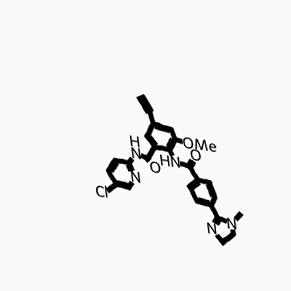 C#Cc1cc(OC)c(NC(=O)c2ccc(C3=NCCN3C)cc2)c(C(=O)Nc2ccc(Cl)cn2)c1